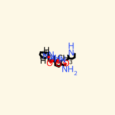 CC(=O)c1ccc(N2[C@@H]3CC[C@H]2C[C@@H](NC(=O)c2ccc(C(N)=O)c(NCC4CCCNC4)c2)C3)nc1